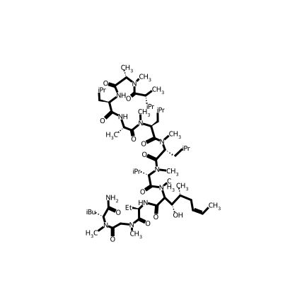 C/C=C\C[C@@H](C)[C@H](O)C(C(=O)N[C@H](CC)C(=O)N(C)CC(=O)N(C)[C@@H](C(N)=O)C(C)CC)N(C)C(=O)[C@H](C(C)C)N(C)C(=O)[C@@H](CC(C)C)N(C)C(=O)[C@H](CC(C)C)N(C)C(=O)[C@H](C)NC(=O)[C@@H](CC(C)C)NC(=O)[C@H](C)N(C)C(=O)[C@H](C)C(C)C